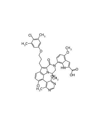 COc1ccc(N2C[C@@H](C)n3c(c(CCCOc4cc(C)c(Cl)c(C)c4)c4ccc(Cl)c(-c5c(C)ncnc5C)c43)C2=O)c2[nH]c(C(=O)O)cc12